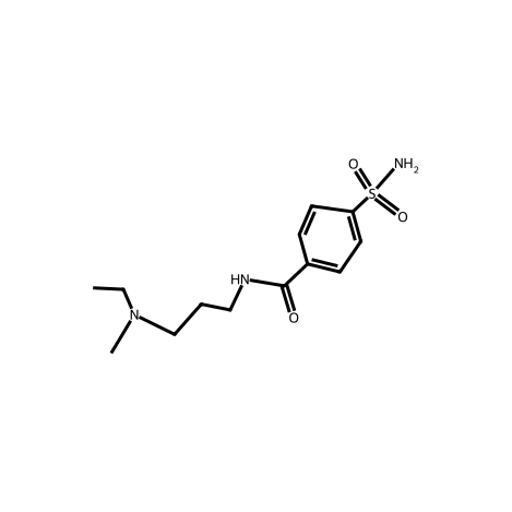 CCN(C)CCCNC(=O)c1ccc(S(N)(=O)=O)cc1